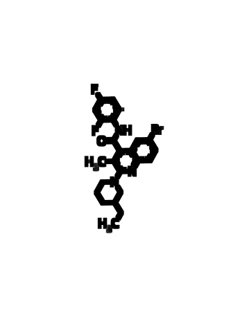 CCC1CCCN(c2nc3ccc(Br)cc3c(C(=O)Nc3[c]cc(F)cc3F)c2C)C1